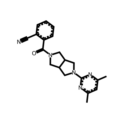 Cc1cc(C)nc(N2CC3CN(C(=O)c4ccccc4C#N)CC3C2)n1